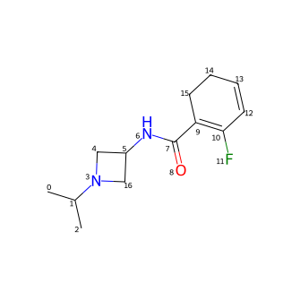 CC(C)N1CC(NC(=O)C2=C(F)C=CCC2)C1